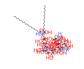 CCCCCCCCCCCCC/C=C/[C@@H](O)[C@H](CO[C@@H]1OC(CO)[C@@H](O[C@@H]2OC(CO)[C@H](O)[C@H](O[C@@H]3OC(CO)[C@@H](O)[C@H](O[C@@H]4OC(CO)[C@H](O[C@@H]5OC(CO)[C@H](O)[C@H](O)C5NC(C)=O)[C@H](O[C@]5(C(=O)O)CC(O)[C@@H](NC(C)=O)C([C@H](O)[C@H](O)CO)O5)C4O)C3NC(C)=O)C2O)[C@H](O)C1O)NC(=O)CCCCCCCCCCCCCCCCC